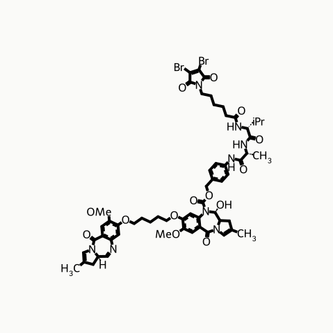 COc1cc2c(cc1OCCCCCOc1cc3c(cc1OC)C(=O)N1C=C(C)CC1[C@@H](O)N3C(=O)OCc1ccc(NC(=O)[C@@H](C)NC(=O)[C@H](NC(=O)CCCCCN3C(=O)C(Br)=C(Br)C3=O)C(C)C)cc1)N=C[C@H]1CC(C)=CN1C2=O